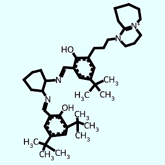 CC(C)(C)c1cc(/C=N/C2CCCCC2/N=C/c2cc(C(C)(C)C)cc(C(C)(C)C)c2O)c(O)c(CCCN2CCC[N+]3=C2CCCCC3)c1